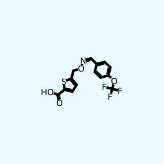 O=C(O)c1ccc(CO/N=C\c2ccc(OC(F)(F)F)cc2)s1